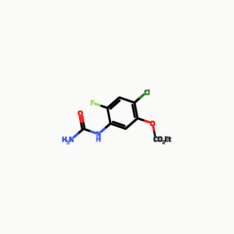 CCOC(=O)Oc1cc(NC(N)=O)c(F)cc1Cl